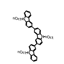 CCCCCCCCn1c2ccccc2c2cc(-c3ccc4c(c3)c3cc(-c5ccc6c(c5)c5ccccc5n6CCCCCCCC)ccc3n4CCCCCCCC)ccc21